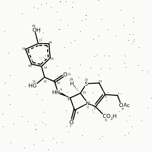 CC(=O)OCC1=C(C(=O)O)N2C(=O)[C@@H](NC(=O)C(O)c3ccc(O)cc3)[C@H]2SC1